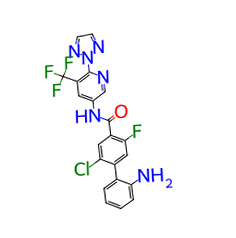 Nc1ccccc1-c1cc(F)c(C(=O)Nc2cnc(-n3nccn3)c(C(F)(F)F)c2)cc1Cl